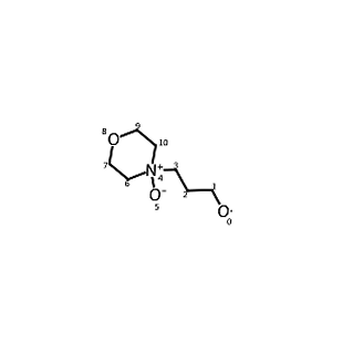 [O]CCC[N+]1([O-])CCOCC1